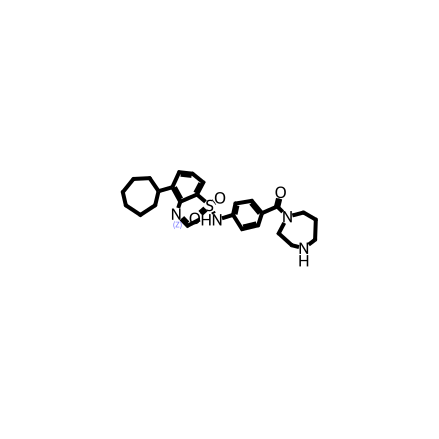 C/C=N\c1c(C2CCCCCC2)cccc1S(=O)(=O)Nc1ccc(C(=O)N2CCCNCC2)cc1